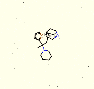 CC(C[C@H]1CN2CCC1CC2)(c1cccs1)N1CCCCC1